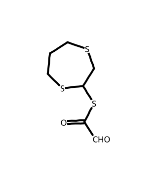 O=CC(=O)SC1CSCCCS1